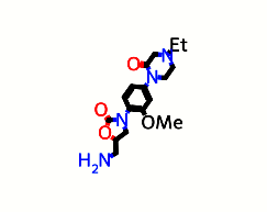 CCN1CCN(c2ccc(N3CC(CN)OC3=O)c(OC)c2)C(=O)C1